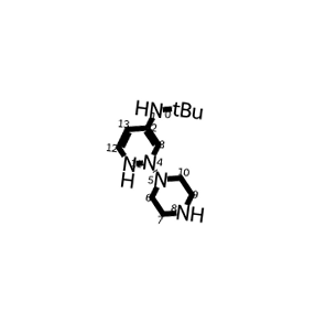 CC(C)(C)NC1=CN(N2CCNCC2)NC=C1